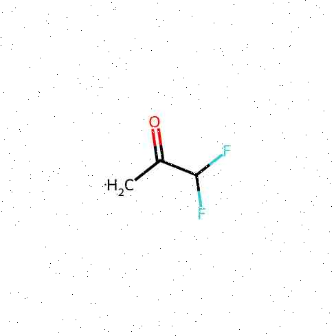 [CH2]C(=O)C(F)F